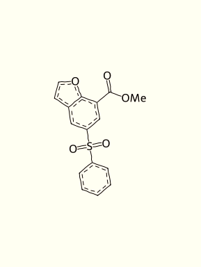 COC(=O)c1cc(S(=O)(=O)c2ccccc2)cc2ccoc12